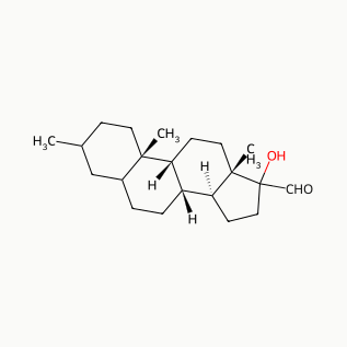 CC1CC[C@@]2(C)C(CC[C@@H]3[C@H]2CC[C@@]2(C)[C@H]3CCC2(O)C=O)C1